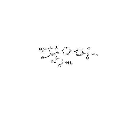 CC(C)C[C@@H](C(N)=O)N([C@H](C#N)CC(N)=O)[C@@H](c1ccc(-c2ccc(S(C)(=O)=O)cc2)cc1)C(F)(F)F